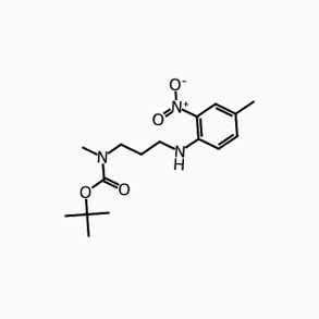 Cc1ccc(NCCCN(C)C(=O)OC(C)(C)C)c([N+](=O)[O-])c1